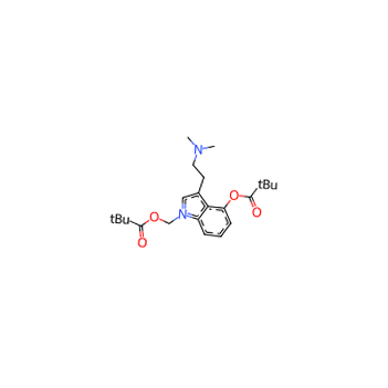 CN(C)CCc1cn(COC(=O)C(C)(C)C)c2cccc(OC(=O)C(C)(C)C)c12